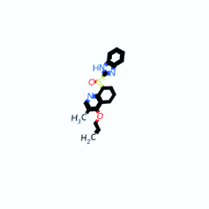 C=CCOc1c(C)cnc2c1CCCC2[S+]([O-])c1nc2ccccc2[nH]1